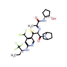 CC[C@H](Nc1cc(C(F)F)c(C(=S)C(/N=C(\C)C(=O)N[C@H]2CCC[C@@H]2O)C(=O)N2C3CCC2CC3)cn1)C(F)(F)F